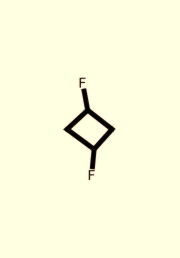 FC1CC(F)C1